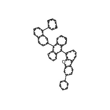 c1ccc(-c2ccc3c(c2)oc2c(-c4c5ccccc5c(-c5ccc6cccc(-c7ccccc7)c6c5)c5ccccc45)cccc23)cc1